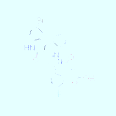 O=C(O)CCC(=O)N1N=C(c2c(-c3ccccc3)c3cc(Br)ccc3[nH]c2=O)CC1c1ccc(F)cc1